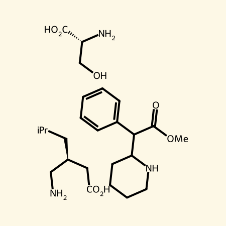 CC(C)C[C@H](CN)CC(=O)O.COC(=O)C(c1ccccc1)C1CCCCN1.N[C@H](CO)C(=O)O